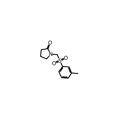 Cc1cccc(S(=O)(=O)CN2CCCC2=O)c1